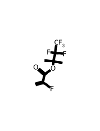 C=C(F)C(=O)OC(C)(C)C(F)(F)C(F)(F)F